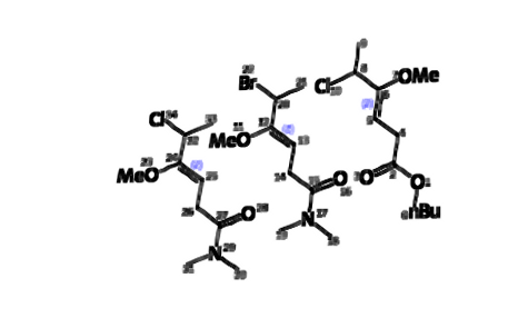 CCCCOC(=O)C/C=C(\OC)C(C)Cl.CO/C(=C\CC(=O)N(C)C)C(C)Br.CO/C(=C\CC(=O)N(C)C)C(C)Cl